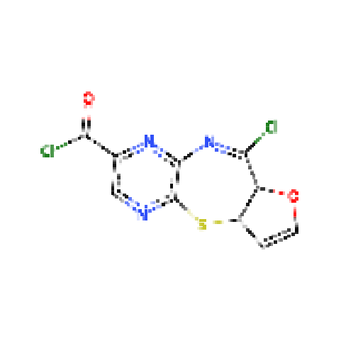 O=C(Cl)c1cnc2c(n1)N=C(Cl)C1OC=CC1S2